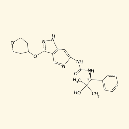 CC(C)(O)[C@@H](NC(=O)Nc1cc2[nH]nc(OC3CCOCC3)c2cn1)c1ccccc1